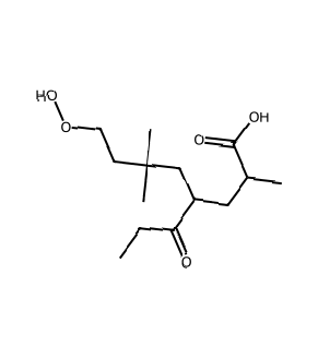 CCC(=O)C(CC(C)C(=O)O)CC(C)(C)CCOO